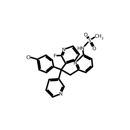 CS(=O)(=O)Nc1cccc(CC(c2ccc(Cl)cc2)(c2cccnc2)c2cccnc2F)n1